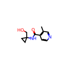 Cc1cnccc1C(=O)NC1(CO)CC1